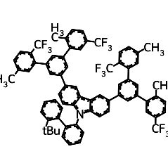 Cc1ccc(C(F)(F)F)c(-c2cc(-c3ccc4c(c3)c3cc(-c5cc(-c6cc(C(F)(F)F)ccc6C)cc(-c6cc(C)ccc6C(F)(F)F)c5)ccc3n4-c3ccccc3-c3ccccc3C(C)(C)C)cc(-c3cc(C(F)(F)F)ccc3C)c2)c1